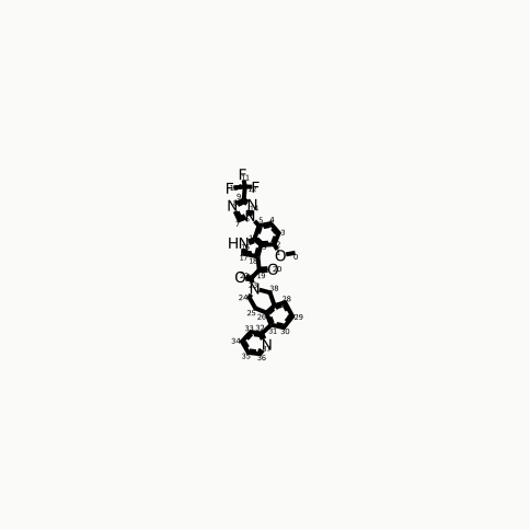 COc1ccc(-n2cnc(C(F)(F)F)n2)c2[nH]cc(C(=O)C(=O)N3CCc4c(cccc4-c4ccccn4)C3)c12